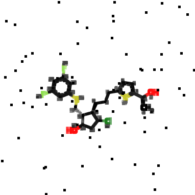 C=C(O)c1ccc(CCC[C@H]2C(Cl)C[C@@H](O)[C@@H]2CSc2cc(F)cc(F)c2)s1